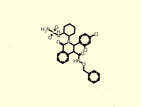 NS(=O)(=O)NC1CCCCC1N1C(=O)c2ccccc2C(C(=O)NOCc2ccccc2)C1c1ccc(Cl)cc1Cl